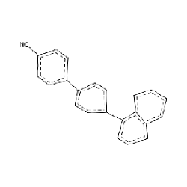 N#Cc1ccc(-c2ccc(-c3cccc4ccccc34)cc2)cc1